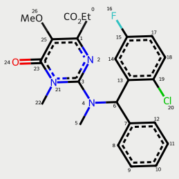 CCOC(=O)c1nc(N(C)C(c2ccccc2)c2cc(F)ccc2Cl)n(C)c(=O)c1OC